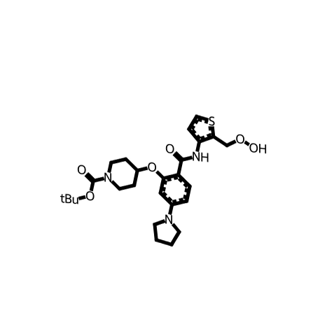 CC(C)(C)OC(=O)N1CCC(Oc2cc(N3CCCC3)ccc2C(=O)Nc2ccsc2COO)CC1